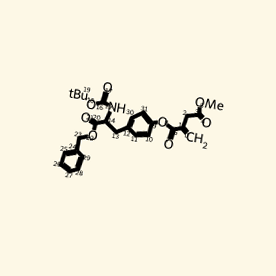 C=C(CC(=O)OC)C(=O)Oc1ccc(CC(NC(=O)OC(C)(C)C)C(=O)OCc2ccccc2)cc1